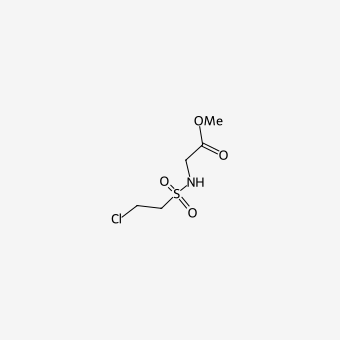 COC(=O)CNS(=O)(=O)CCCl